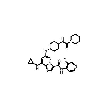 O=C(Nc1ccncc1F)c1cnc2c(NC3CC3)cc(N[C@H]3CC[C@H](NC(=O)N4CCCCC4)CC3)nn12